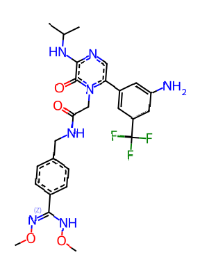 CO/N=C(\NOC)c1ccc(CNC(=O)Cn2c(C3=CC(C(F)(F)F)CC(N)=C3)cnc(NC(C)C)c2=O)cc1